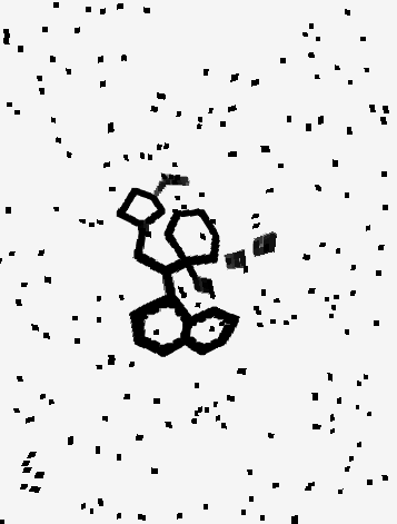 CN[C@H]1CCN(CC(c2cccc3ccccc23)C2(O)CCCCC2)C1.Cl.Cl